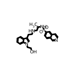 C[C@H](CNCCc1cn(CCO)c2ccccc12)NS(=O)(=O)c1ccc2cnccc2c1